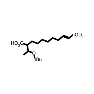 CCCCCCCCC=CCCCCCCC(C(=O)O)C(C)OCCCC